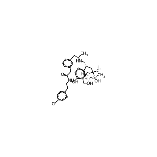 C[C@H](Cc1cccc(CC(=O)NCCc2ccc(Cl)cc2)c1)NC[C@H](CC(C)(C)[Si](C)(C)O)c1ccc(O)c(CO)c1